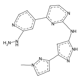 Cn1ccc(-c2cc(Nc3nccc(-c4ccnc(NN)c4)n3)[nH]n2)n1